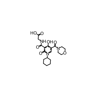 O=C(O)CNC(=O)c1c(O)c(C(=O)N2CCOCC2)cn(C2CCCCC2)c1=O